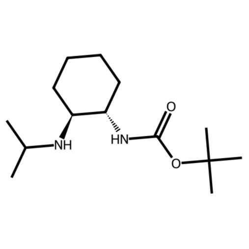 CC(C)N[C@H]1CCCC[C@@H]1NC(=O)OC(C)(C)C